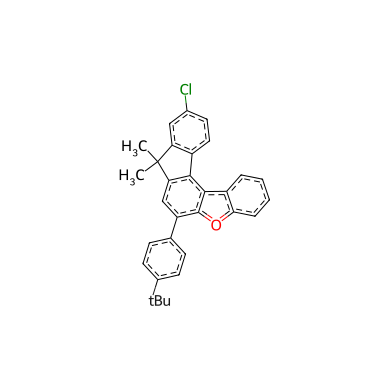 CC(C)(C)c1ccc(-c2cc3c(c4c2oc2ccccc24)-c2ccc(Cl)cc2C3(C)C)cc1